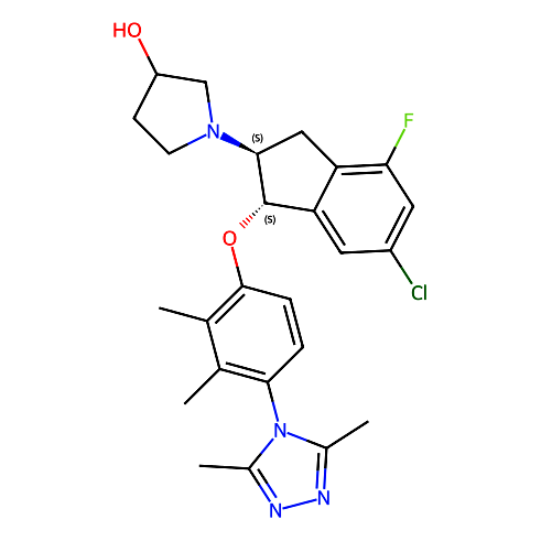 Cc1c(O[C@H]2c3cc(Cl)cc(F)c3C[C@@H]2N2CCC(O)C2)ccc(-n2c(C)nnc2C)c1C